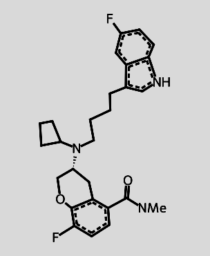 CNC(=O)c1ccc(F)c2c1C[C@@H](N(CCCCc1c[nH]c3ccc(F)cc13)C1CCC1)CO2